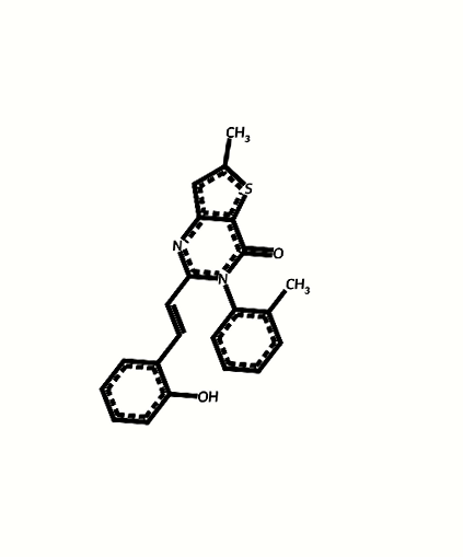 Cc1cc2nc(/C=C/c3ccccc3O)n(-c3ccccc3C)c(=O)c2s1